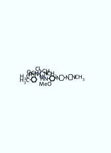 C=N/C(=N\C(Nc1cccc(C)c1P(C)(C)=O)=C(/C)Cl)Nc1ccc(N2CCC(N3CCN(C)CC3)CC2)cc1OC